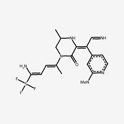 CNc1cc(/C(C=N)=C2/NC(C)CN(/C(C)=C/C=C(\N)S(F)(F)F)C2=O)ccn1